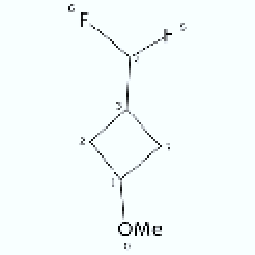 COC1CC(C(F)F)C1